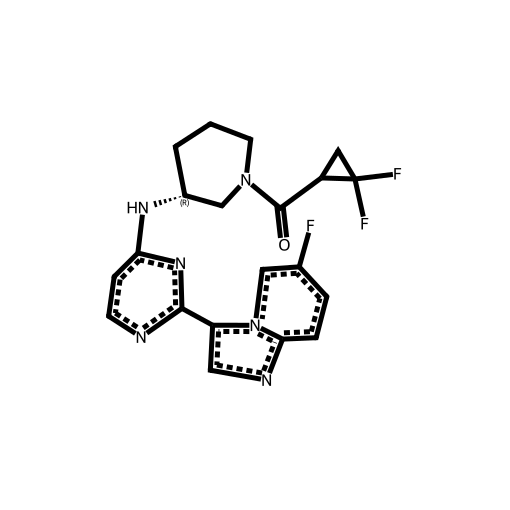 O=C(C1CC1(F)F)N1CCC[C@@H](Nc2ccnc(-c3cnc4ccc(F)cn34)n2)C1